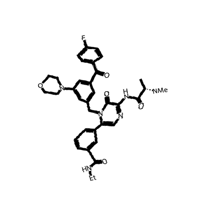 CCNC(=O)c1cccc(-c2cnc(NC(=O)[C@H](C)NC)c(=O)n2Cc2cc(C(=O)c3ccc(F)cc3)cc(N3CCOCC3)c2)c1